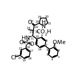 COc1ccccc1-c1ccc([C@@H](NS(=O)(=O)c2cccc(Cl)c2)[C@](C)(C(=O)O)C(=O)C2CCCN2)cc1